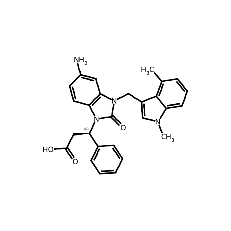 Cc1cccc2c1c(Cn1c(=O)n([C@H](CC(=O)O)c3ccccc3)c3ccc(N)cc31)cn2C